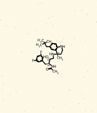 CC(=O)N[C@@H](Cc1cc(F)cc(F)c1)[C@H](O)CN[C@@]1(C)CCNc2ccc(CC(C)(C)C)cc21